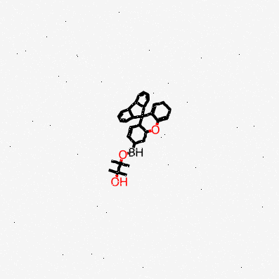 CC(C)(O)C(C)(C)OBC1C=CC2C(C1)OC1=CCCC=C1C21C2C=CC=CC2C2C=CC=CC21